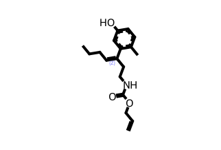 C=CCOC(=O)NCC/C(=C/CCC)c1cc(O)ccc1C